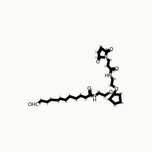 O=CCCCCCCCCCCC(=O)NCCOC1(OCCNC(=O)CCN2C(=O)C=CC2=O)CCCC1